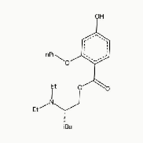 CCCOc1cc(O)ccc1C(=O)OC[C@H](C(C)CC)N(CC)CC